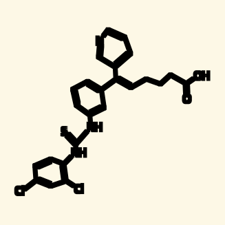 O=C(O)CCC/C=C(\c1cccnc1)c1cccc(NC(=S)Nc2ccc(Cl)cc2Cl)c1